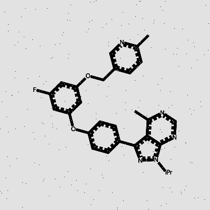 Cc1ccc(COc2cc(F)cc(Oc3ccc(-c4nn(C(C)C)c5ncnc(C)c45)cc3)c2)cn1